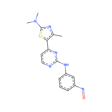 Cc1nc(N(C)C)sc1-c1ccnc(Nc2cccc(N=O)c2)n1